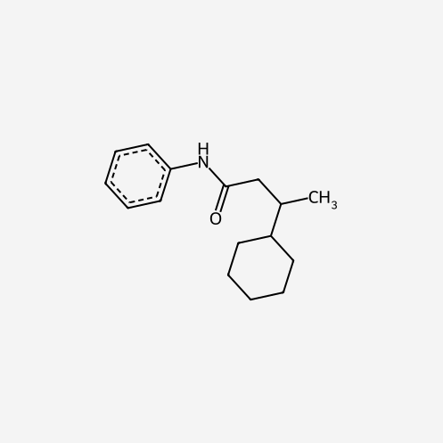 CC(CC(=O)Nc1ccccc1)C1CCCCC1